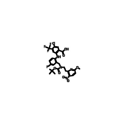 COc1ccc([N+](=O)[O-])c(CCN(Cc2cc(F)ccc2Nc2cc(C(F)(F)F)c(Cl)cc2C(=O)O)C(=O)OC(C)(C)C)n1